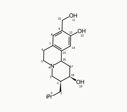 CC(C)C[C@H]1CN2CCc3cc(CO)c(O)cc3C2C[C@H]1O